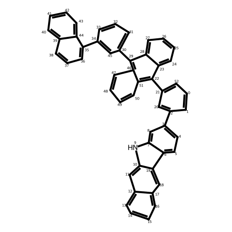 c1cc(-c2ccc3c(c2)[nH]c2cc4ccccc4cc23)cc(-c2c3ccccc3c(-c3cccc(-c4cccc5ccccc45)c3)c3ccccc23)c1